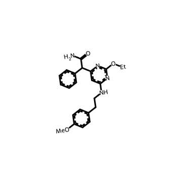 CCOc1nc(NCCc2ccc(OC)cc2)cc(C(C(N)=O)c2ccccc2)n1